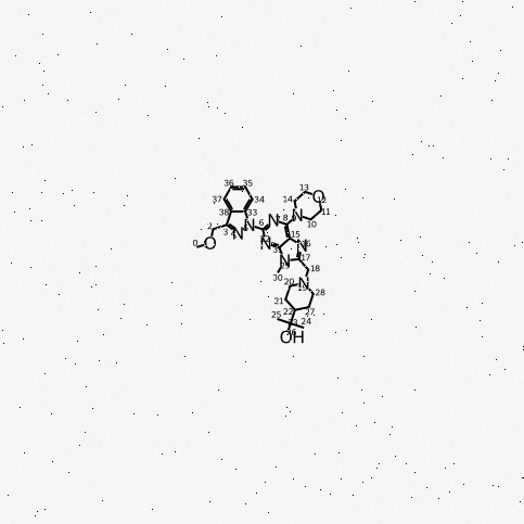 COCc1nn(-c2nc(N3CCOCC3)c3nc(CN4CCC(C(C)(C)O)CC4)n(C)c3n2)c2ccccc12